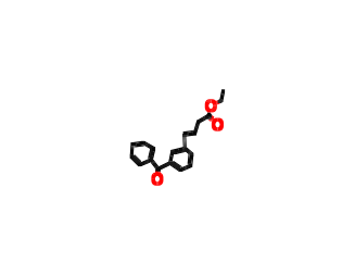 CCOC(=O)C/C=C/c1cccc(C(=O)c2ccccc2)c1